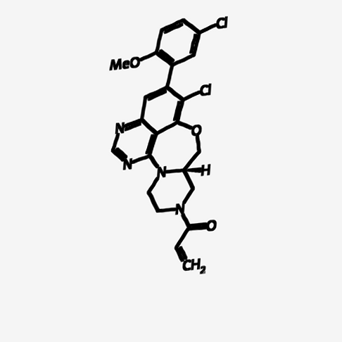 C=CC(=O)N1CCN2c3ncnc4cc(-c5cc(Cl)ccc5OC)c(Cl)c(c34)OC[C@@H]2C1